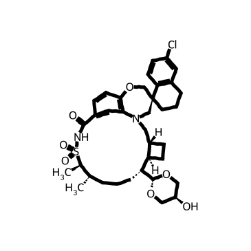 C[C@@H]1[C@@H](C)CCC[C@@H]([C@H]2OC[C@H](O)CO2)[C@@H]2CC[C@H]2CN2C[C@@]3(CCCc4cc(Cl)ccc43)COc3ccc(cc32)C(=O)NS1(=O)=O